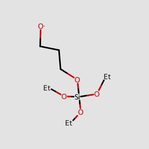 CCO[Si](OCC)(OCC)OCCC[O]